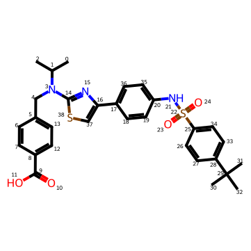 CC(C)N(Cc1ccc(C(=O)O)cc1)c1nc(-c2ccc(NS(=O)(=O)c3ccc(C(C)(C)C)cc3)cc2)cs1